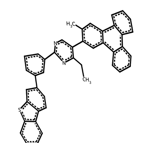 CCc1nc(-c2cccc(-c3ccc4c(c3)sc3ccccc34)c2)ncc1-c1cc2c3ccccc3c3ccccc3c2cc1C